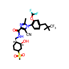 Cc1nc(C(=O)NC[C@H]2CCC(S(C)(=O)=O)C[C@@H]2O)c(C#N)n1-c1ccc(CC(C)(C)C(F)(F)F)cc1OC(F)F